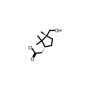 CC1(C)[C@@H](CC(=O)Cl)CC[C@@]1(C)CO